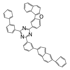 c1ccc(-c2cccc(-c3nc(-c4cccc(-c5ccc6cc(-c7ccccc7)ccc6c5)c4)nc(-c4ccc5oc6ccc7ccccc7c6c5c4)n3)c2)cc1